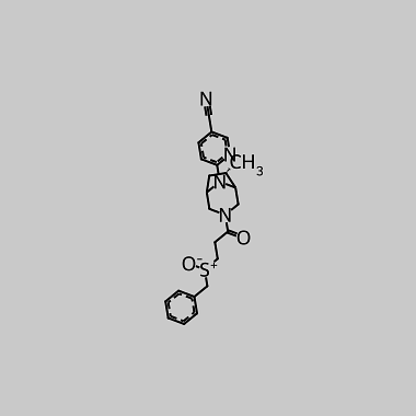 C[C@H]1CC2CN(C(=O)CC[S+]([O-])Cc3ccccc3)CC1N2c1ccc(C#N)cn1